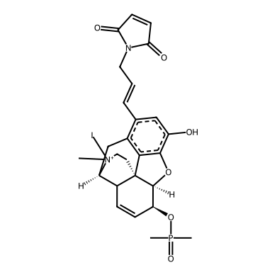 C[N+]1(I)CC[C@]23c4c5c(/C=C/CN6C(=O)C=CC6=O)cc(O)c4O[C@H]2[C@@H](OP(C)(C)=O)C=CC3[C@H]1C5